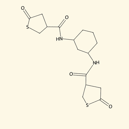 O=C1CC(C(=O)NC2CCCC(NC(=O)C3CSC(=O)C3)C2)CS1